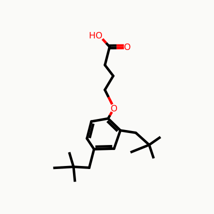 CC(C)(C)Cc1ccc(OCCCC(=O)O)c(CC(C)(C)C)c1